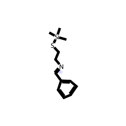 C[Si](C)(C)SCC/N=C/c1ccccc1